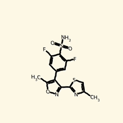 Cc1csc(-c2noc(C)c2-c2cc(F)c(S(N)(=O)=O)c(F)c2)n1